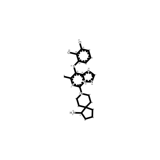 Cc1nc(N2CCC3(CCCC3N)CC2)n2ncnc2c1Sc1cccc(Cl)c1Cl